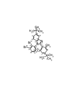 Cc1cc(C(C)(C)C)cc(C)c1-c1nc2cc(C(C)(C)C)ccc2n1-c1cccc(Br)c1Br